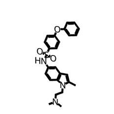 Cc1cc2cc(NS(=O)(=O)c3ccc(Oc4ccccc4)cc3)ccc2n1CCN(C)C